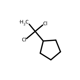 [CH2]C(Cl)(Cl)C1CCCC1